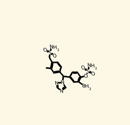 Bc1cc(C(c2ccc(CS(N)(=O)=O)c(C)c2)n2cncn2)ccc1OS(N)(=O)=O